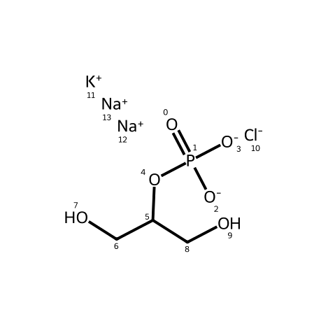 O=P([O-])([O-])OC(CO)CO.[Cl-].[K+].[Na+].[Na+]